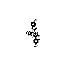 CCN(Cc1ccc(SC)cc1)c1c2c(nc3c(-c4ccc(OC)cc4C)c(C)nn13)COC2